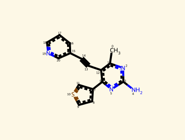 Cc1nc(N)nc(-c2ccsc2)c1C#Cc1cccnc1